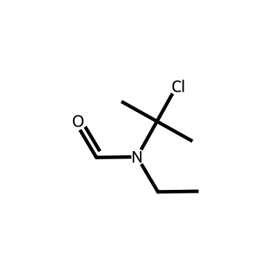 CCN(C=O)C(C)(C)Cl